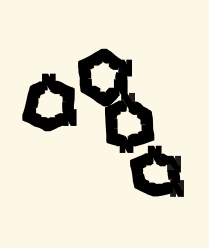 c1ccnnc1.c1cnccn1.c1cncnc1.c1cnnnc1